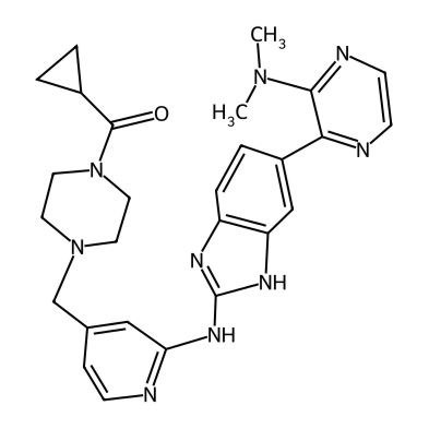 CN(C)c1nccnc1-c1ccc2nc(Nc3cc(CN4CCN(C(=O)C5CC5)CC4)ccn3)[nH]c2c1